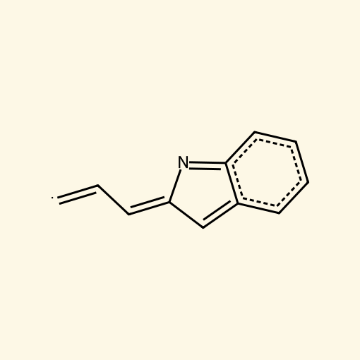 [CH]=CC=C1C=c2ccccc2=N1